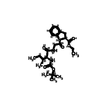 CCOC(=O)[C@@H]1Cc2ccccc2N1C(=O)CNC(=O)[C@@H](NC(=O)OC(C)(C)C)[C@@H](C)CC